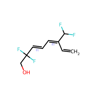 C=C/C(=C\C=C\C(F)(F)CO)C(F)F